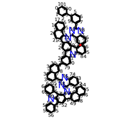 c1ccc(-c2cccc(-c3nc(-n4c5c6ccccc6ccc5c5cc6c7cc(-c8ccc9cccc(-c%10nc(-n%11c%12c%13ccccc%13ccc%12c%12cc%13c%14ccccc%14n%14c%15ccccc%15c(c%12%11)c%13%14)c%11ccccc%11n%10)c9c8)ccc7n7c8ccccc8c(c54)c67)c4ccccc4n3)c2)cc1